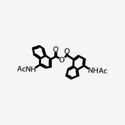 CC(=O)Nc1ccc(C(=O)OC(=O)c2ccc(NC(C)=O)c3ccccc23)c2ccccc12